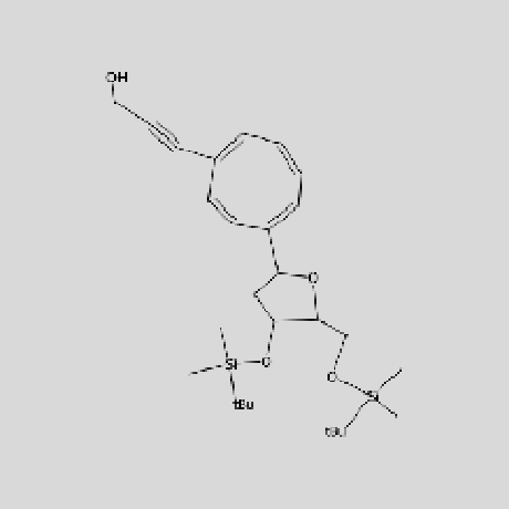 CC(C)(C)[Si](C)(C)OCC1OC(C2=C/C=C\C=C(C#CCO)/C=C\2)CC1O[Si](C)(C)C(C)(C)C